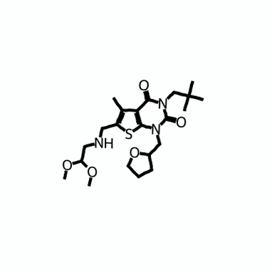 COC(CNCc1sc2c(c1C)c(=O)n(CC(C)(C)C)c(=O)n2CC1CCCO1)OC